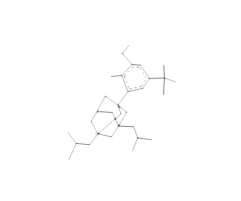 CC(C)CC12CC3CC(CC(C)C)(C1)CC(c1cc(C(C)(C)C)cc(CBr)c1O)(C3)C2